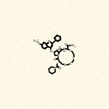 COc1ccc2c(O[C@@H]3C[C@H]4C(=O)NC(C(N)=O)CCCCCCCCC[C@H](CC(=O)N5CCCCC5)C(=O)N4C3)cc(-c3ccccc3)nc2c1